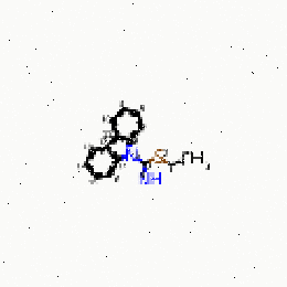 CCSC(=N)n1c2ccccc2c2ccccc21